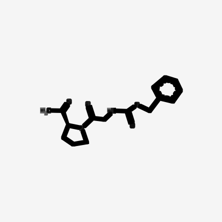 CC(=O)[C@@H]1CCCN1C(=O)CNC(=O)OCc1ccccc1